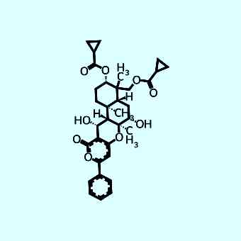 CC1(COC(=O)C2CC2)[C@@H](OC(=O)C2CC2)CC[C@]2(C)[C@H]3[C@@H](O)c4c(cc(-c5ccccc5)oc4=O)O[C@]3(C)[C@@H](O)C[C@@H]12